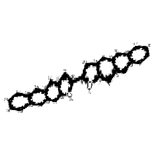 c1ccc2cc3cc4oc(-c5cc6cc7cc8ccccc8cc7cc6o5)cc4cc3cc2c1